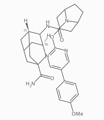 COc1ccc(-c2cnc(OC3CC4CCC(C3)N4C(=O)NC3[C@@H]4CC5C[C@H]3CC(C(N)=O)(C5)C4)nc2)cc1